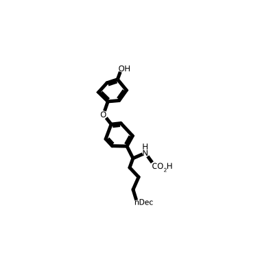 CCCCCCCCCCCCCC(NC(=O)O)c1ccc(Oc2ccc(O)cc2)cc1